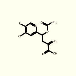 C=C(CC(OC(C)=O)c1cc(Cl)c(F)cn1)C(=O)O